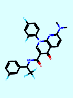 CN(C)c1ccc2c(=O)c(C(=O)NC(c3cccc(F)c3)C(F)(F)F)cn(-c3ccc(F)cc3F)c2n1